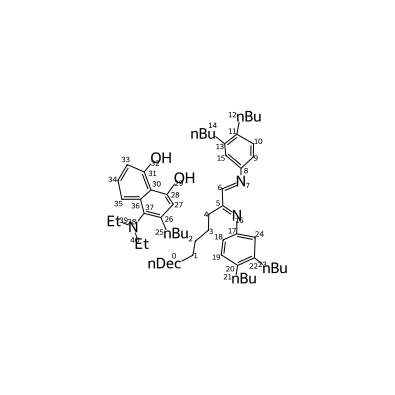 CCCCCCCCCCCCCCC(C=Nc1ccc(CCCC)c(CCCC)c1)=Nc1ccc(CCCC)c(CCCC)c1.CCCCc1cc(O)c2c(O)cccc2c1N(CC)CC